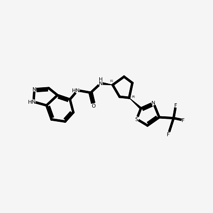 O=C(Nc1cccc2[nH]ncc12)N[C@H]1CC[C@@H](c2nc(C(F)(F)F)cs2)C1